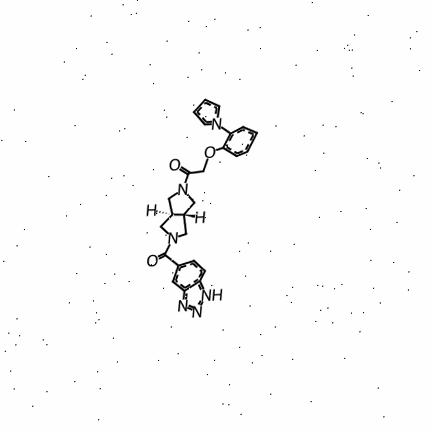 O=C(COc1ccccc1-n1cccc1)N1C[C@@H]2CN(C(=O)c3ccc4[nH]nnc4c3)C[C@H]2C1